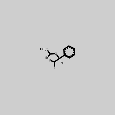 CCC(O[C@@](F)(c1ccccc1)C(F)F)C(=O)O